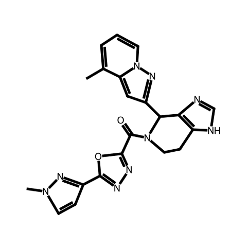 Cc1cccn2nc(C3c4nc[nH]c4CCN3C(=O)c3nnc(-c4ccn(C)n4)o3)cc12